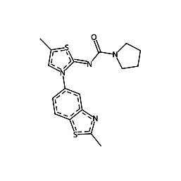 Cc1cn(-c2ccc3sc(C)nc3c2)c(=NC(=O)N2CCCC2)s1